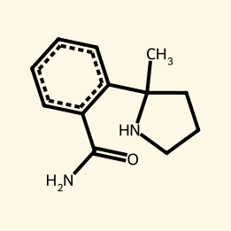 CC1(c2ccccc2C(N)=O)CCCN1